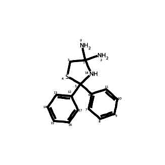 NC1(N)CSC(c2ccccc2)(c2ccccc2)N1